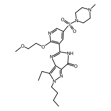 CCCCn1nc2c(=O)[nH]c(-c3cc(S(=O)(=O)N4CCN(C)CC4)cnc3OCCOC)nc2c1CC